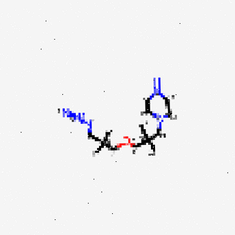 CC(C)(CN=[N+]=[N-])COCC(C)(C)CN1CCNCC1